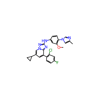 COc1cc(Nc2nc3c(-c4ccc(F)cc4Cl)cc(C4CC4)cn3n2)ccc1-n1cnc(C)c1